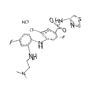 CN(C)CCNc1cc(F)ccc1Nc1cc(F)c(S(=O)(=O)Nc2cscn2)cc1Cl.Cl